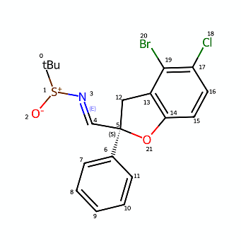 CC(C)(C)[S+]([O-])/N=C/[C@@]1(c2ccccc2)Cc2c(ccc(Cl)c2Br)O1